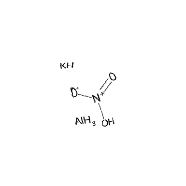 O=[N+]([O-])O.[AlH3].[KH]